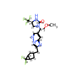 COC[C@H](c1cnn2cc(CC3CC4C(C3)C4(F)F)nc2c1)N1C[C@@H](C(F)(F)F)NC1=O